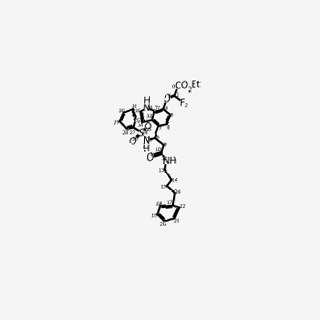 CCOC(=O)C(F)Oc1ccc(C(CC(=O)NCCCCc2ccccc2)NS(=O)(=O)c2ccccc2)c2cc[nH]c12